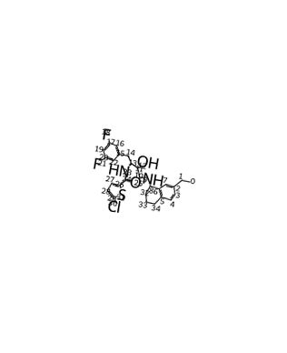 CCc1ccc2c(c1)[C@@H](NC[C@H](O)[C@H](Cc1cc(F)cc(F)c1)NC(=O)c1ccc(Cl)s1)CCC2